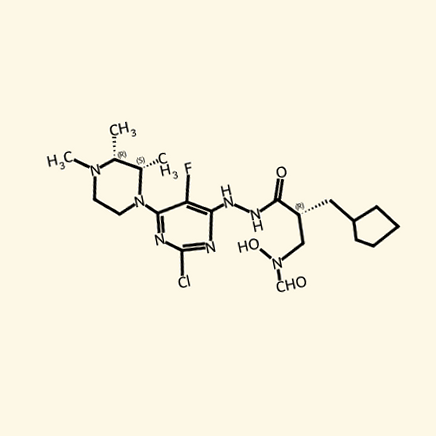 C[C@@H]1[C@H](C)N(c2nc(Cl)nc(NNC(=O)[C@H](CC3CCCC3)CN(O)C=O)c2F)CCN1C